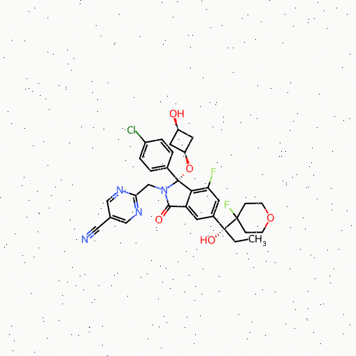 CC[C@@](O)(c1cc(F)c2c(c1)C(=O)N(Cc1ncc(C#N)cn1)[C@@]2(O[C@H]1C[C@@H](O)C1)c1ccc(Cl)cc1)C1(F)CCOCC1